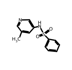 Cc1cncc(NS(=O)(=O)c2ccccc2)c1